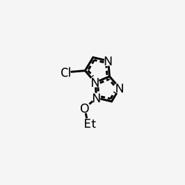 CCOn1cnc2ncc(Cl)n21